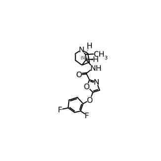 C[C@H]1[C@H](NC(=O)c2ncc(Oc3ccc(F)cc3F)o2)C2CCN1CC2